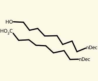 CCCCCCCCCCCCCCCCCC(=O)O.CCCCCCCCCCCCCCCCCCO